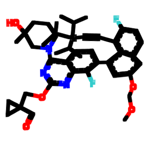 COCOc1cc(-c2ccc3c(N4CCCC(C)(O)C4)nc(OCC4(C=O)CC4)nc3c2F)c2c(C#C[Si](C(C)C)(C(C)C)C(C)C)c(F)ccc2c1